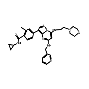 Cc1cc(-c2cnn3c(NCCN4CCOCC4)cc(NCc4cccnc4)nc23)ccc1C(=O)NC1CC1